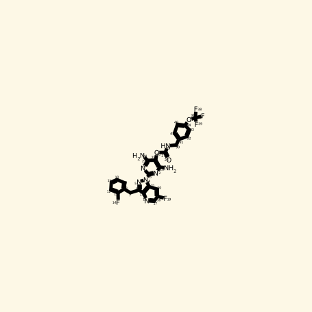 Nc1nc(-n2nc(Cc3ccccc3F)c3ncc(F)cc32)nc(N)c1OC(=O)NCc1ccc(OC(F)(F)F)cc1